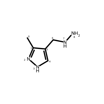 Cc1n[nH]cc1CNN